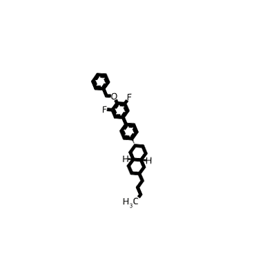 CCCCC1CC[C@@H]2C[C@H](c3ccc(-c4cc(F)c(OCc5ccccc5)c(F)c4)cc3)CC[C@@H]2C1